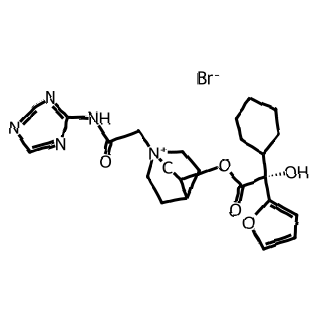 O=C(C[N+]12CCC(CC1)C(OC(=O)[C@](O)(c1ccco1)C1CCCCC1)C2)Nc1ncncn1.[Br-]